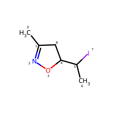 CC1=NOC(C(C)I)C1